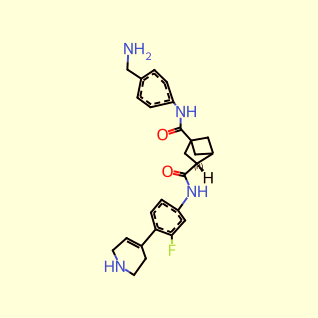 NCc1ccc(NC(=O)C23CC(C2)[C@H](C(=O)Nc2ccc(C4=CCNCC4)c(F)c2)C3)cc1